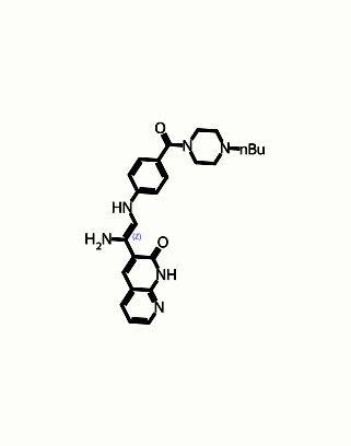 CCCCN1CCN(C(=O)c2ccc(N/C=C(\N)c3cc4cccnc4[nH]c3=O)cc2)CC1